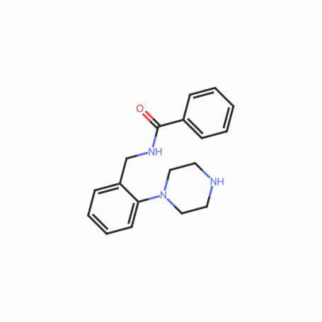 O=C(NCc1ccccc1N1CCNCC1)c1ccccc1